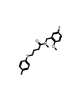 COc1ccc(F)cc1CN(C)C(=O)CCCSc1ccc(C)cc1